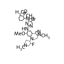 COc1cc2c(cc1Nc1ncc(Br)c(Nc3ccccc3P(C)(C)=O)n1)-c1cnn(C)c1CCN2C1CCN(C)CC1F